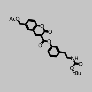 CC(=O)OCc1ccc2oc(=O)c(C(=O)Oc3cccc(CCNC(=O)OC(C)(C)C)c3)cc2c1